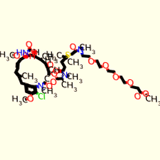 COC(=O)CCOCCOCCOCCOCCN(C)C(=O)CSC(C)(C)CCC(=O)N(C)[C@@H](C)C(=O)O[C@H]1CC(=O)N(C)c2cc(cc(OC)c2Cl)C/C(C)=C/C=C/[C@@H](OC)[C@@]2(O)C[C@H](OC(=O)N2)[C@@H](C)[C@@H]2O[C@@]12C